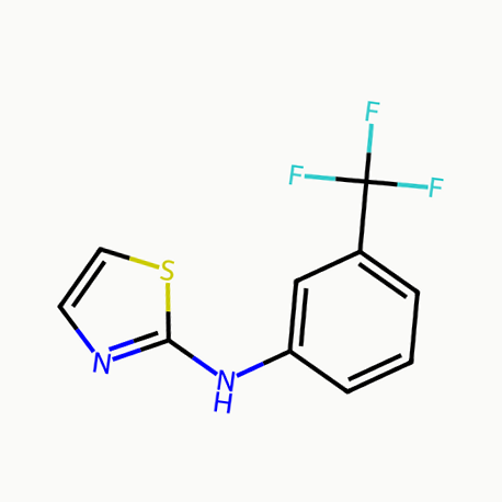 FC(F)(F)c1cccc(Nc2nccs2)c1